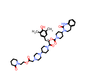 Cc1cc(C[C@@H](OC(=O)N2CCC(N3CCc4ccccc4NC3=O)CC2)C(=O)N2CCC(N3CCN(CC(=O)OCCN4CCCCC4=O)CC3)CC2)cc(C)c1O